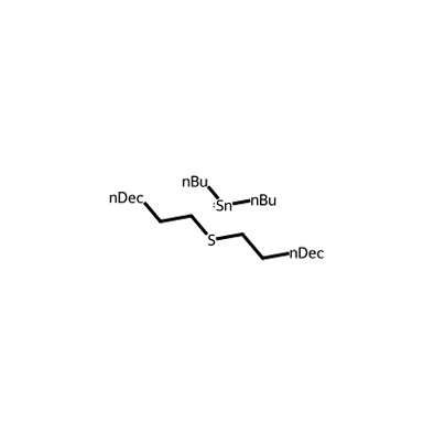 CCCCCCCCCCCCSCCCCCCCCCCCC.CCC[CH2][Sn][CH2]CCC